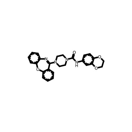 O=C(Nc1ccc2c(c1)OCCO2)N1CCN(C2=Nc3ccccc3Oc3ccccc32)CC1